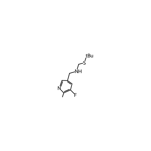 Cc1ncc(CNCSC(C)(C)C)cc1F